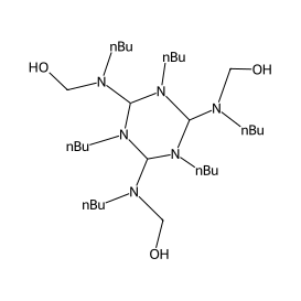 CCCCN(CO)C1N(CCCC)C(N(CO)CCCC)N(CCCC)C(N(CO)CCCC)N1CCCC